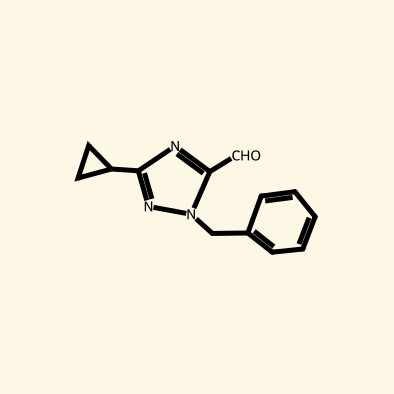 O=Cc1nc(C2CC2)nn1Cc1ccccc1